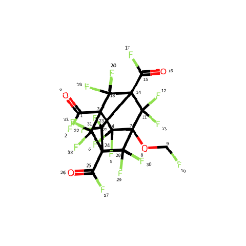 O=C(F)C12C(F)(F)C3(OCF)C(F)(F)C(C(=O)F)(C1(F)F)C(F)(F)C(C(=O)F)(C3(F)F)C2(F)F